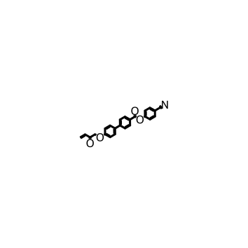 C=CC(=O)COc1ccc(-c2ccc(C(=O)Oc3ccc(C#N)cc3)cc2)cc1